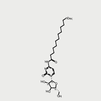 CCCCCCCCCCCCCCCCCCCCCC(=O)Nc1ccn([C@@H]2O[C@H](CO)C(O)[C@H]2O)c(=O)n1